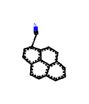 N#Cc1ccc2ccc3cc[c]c4ccc1c2c43